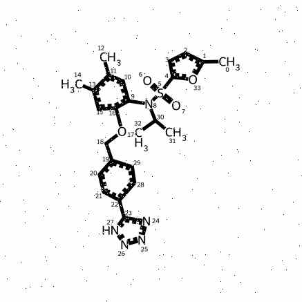 Cc1ccc(S(=O)(=O)N(c2cc(C)c(C)cc2OCc2ccc(-c3nnn[nH]3)cc2)C(C)C)o1